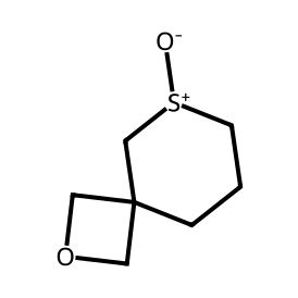 [O-][S+]1CCCC2(COC2)C1